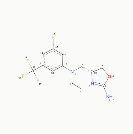 CCN(C[C@@H]1COC(N)=N1)c1cc(F)cc(C(F)(F)F)c1